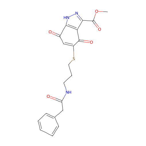 COC(=O)c1n[nH]c2c1C(=O)C(SCCCNC(=O)Cc1ccccc1)=CC2=O